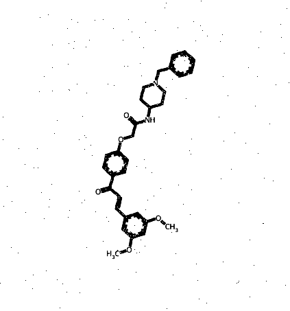 COc1cc(C=CC(=O)c2ccc(OCC(=O)NC3CCN(Cc4ccccc4)CC3)cc2)cc(OC)c1